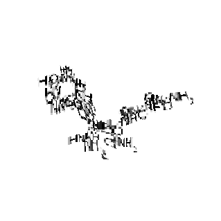 CNC(=O)[C@H]1CSSC[C@@H](NC(=O)[C@H]2CCCN2C(=O)[C@@H](CCCNC(=N)N)NC(=O)[C@@H](CCC(N)=O)NC(=O)CNC(=O)CNC(=O)CNC(=O)CNC(=O)CN)C(=O)N[C@@H](CC(C)C)C(=O)N[C@@H](CO)C(=O)N1